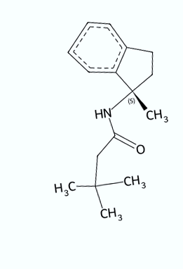 CC(C)(C)CC(=O)N[C@@]1(C)CCc2ccccc21